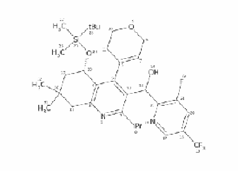 CC(C)c1nc2c(c(C3=CCOCC3)c1C(O)c1ncc(C(F)(F)F)cc1F)[C@@H](O[Si](C)(C)C(C)(C)C)CC(C)(C)C2